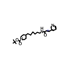 CC(C)(C)OC(=O)N1CCC(CCCCCCNC(=O)/C=C/c2cccnc2)CC1